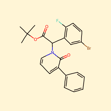 CC(C)(C)OC(=O)C(c1cc(Br)ccc1F)n1cccc(-c2ccccc2)c1=O